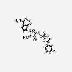 Nc1ncnc2c1ncn2[C@@H]1O[C@H](COP2(=S)OC[C@@H](c3cccc(Cl)c3)O2)[C@@H](O)[C@H]1O